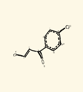 O=C(/C=C/Cl)c1ccc(Cl)cc1